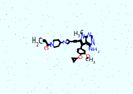 C=CC(=O)N1CCC(N2CC(C#Cc3c(-c4ccc(OC5CC5)c(OC)c4)c4c(N)ncnc4n3C)C2)CC1